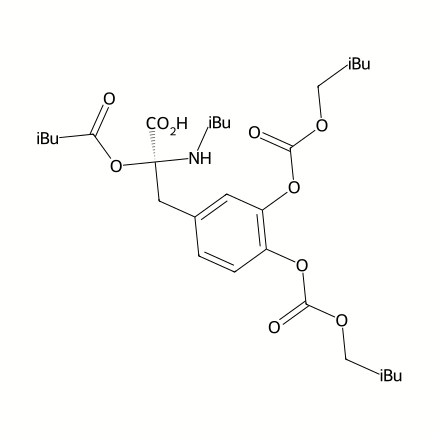 CCC(C)COC(=O)Oc1ccc(C[C@](NC(C)CC)(OC(=O)C(C)CC)C(=O)O)cc1OC(=O)OCC(C)CC